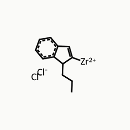 CCCC1[C]([Zr+2])=Cc2ccccc21.[Cl-].[Cl-]